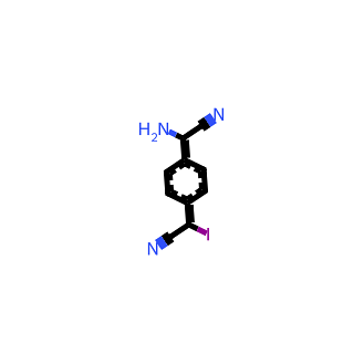 N#CC(N)=c1ccc(=C(I)C#N)cc1